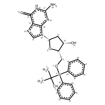 CC(C)(C)[Si](OC[C@@H]1O[C@H](n2cnc3c(=O)[nH]c(N)nc32)C[C@@H]1O)(c1ccccc1)c1ccccc1